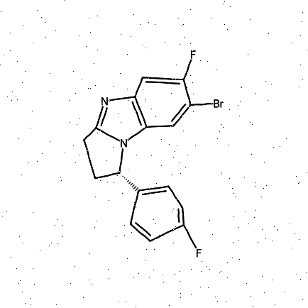 Fc1ccc([C@@H]2CCc3nc4cc(F)c(Br)cc4n32)cc1